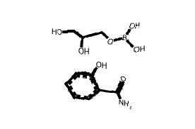 NC(=O)c1ccccc1O.OCC(O)COB(O)O